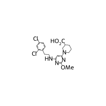 COc1nc(NCCc2ccc(Cl)cc2Cl)cc(N2CCCC(C(=O)O)C2)n1